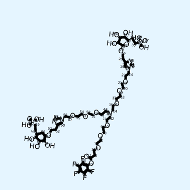 O=C(CCOCCOCCOCCN(CCOCCOCCOCCn1cc(CCO[C@H]2O[C@H](CCP(=O)(O)O)[C@@H](O)[C@H](O)[C@@H]2O)nn1)CCOCCOCCOCCn1cc(CCO[C@H]2C[C@H](CCP(=O)(O)O)[C@@H](O)[C@H](O)[C@@H]2O)nn1)Oc1c(F)c(F)c(F)c(F)c1F